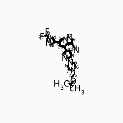 CC(C)OCCN1CCN(c2ccc(-c3cc(-c4cnn(C(F)F)c4)cn4ncc(C#N)c34)cn2)CC1